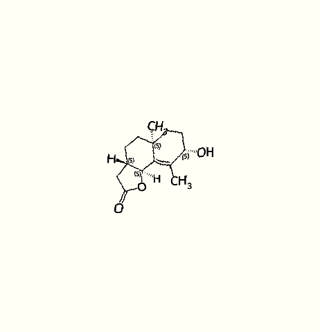 CC1=C2[C@H]3OC(=O)C[C@@H]3CC[C@@]2(C)CC[C@@H]1O